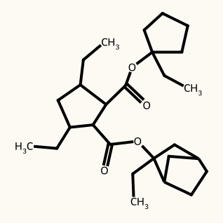 CCC1CC(CC)C(C(=O)OC2(CC)CC3CCC2C3)C1C(=O)OC1(CC)CCCC1